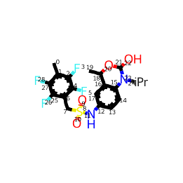 Cc1c(F)c(F)c(CS(=O)(=O)Nc2ccc3c(c2)C(C)OC(O)N3C(C)C)c(F)c1F